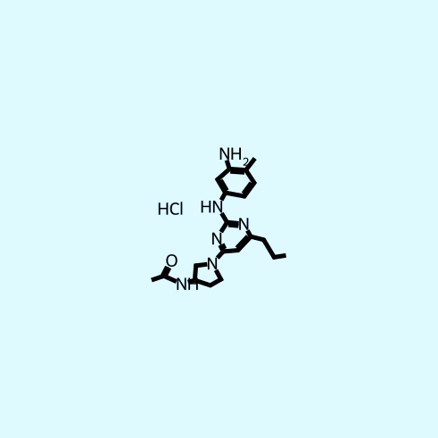 CCCc1cc(N2CCC(NC(C)=O)C2)nc(Nc2ccc(C)c(N)c2)n1.Cl